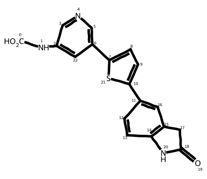 O=C(O)Nc1cncc(-c2ccc(-c3ccc4c(c3)CC(=O)N4)s2)c1